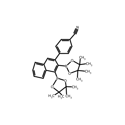 CC1(C)OB(c2c(-c3ccc(C#N)cc3)cc3ccccc3c2B2OC(C)(C)C(C)(C)O2)OC1(C)C